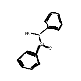 N#CN(c1ccccc1)[S+]([O-])c1ccccc1